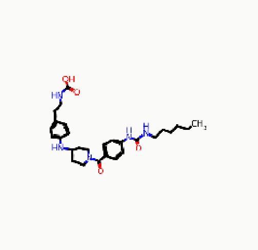 CCCCCCNC(=O)Nc1ccc(C(=O)N2CCC(Nc3ccc(CCNC(=O)O)cc3)CC2)cc1